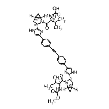 COC(=O)N[C@H](C(=O)N1[C@H](c2nc(-c3ccc(C#Cc4ccc(-c5c[nH]c([C@@H]6C[C@@H]7C[C@@H]7N6C(=O)[C@@H](NC(=O)O)C(C)C)n5)cc4)cc3)c[nH]2)C[C@@H]2C[C@@H]21)C(C)C